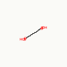 OOOCCCCCCCCCCCCCCCCOOO